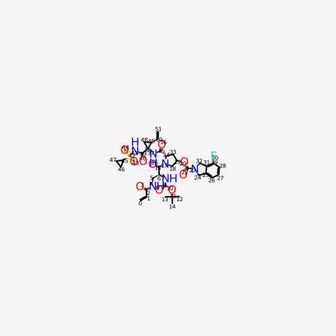 C=CC(=O)NC[C@H](NC(=O)OC(C)(C)C)C(=O)N1C[C@H](OC(=O)N2Cc3cccc(F)c3C2)C[C@H]1C(=O)N[C@]1(C(=O)NS(=O)(=O)C2CC2)C[C@H]1C=C